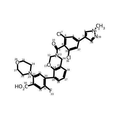 Cn1cc(-c2cc(Cl)c(C(=O)N3COc4c(cccc4-c4cc(N5CCOCC5)c(C(=O)O)cc4F)C3)c(Cl)c2)cn1